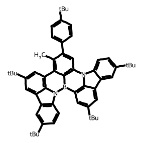 Cc1c(-c2ccc(C(C)(C)C)cc2)cc2c3c1-c1cc(C(C)(C)C)cc4c5cc(C(C)(C)C)ccc5n(c14)B3c1cc(C(C)(C)C)cc3c4cc(C(C)(C)C)ccc4n-2c13